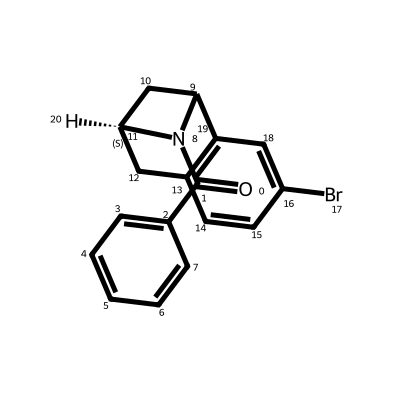 O=C(c1ccccc1)N1C2C[C@@H]1Cc1ccc(Br)cc12